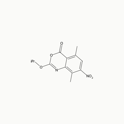 Cc1c([N+](=O)[O-])cc(C)c2c(=O)oc(OC(C)C)nc12